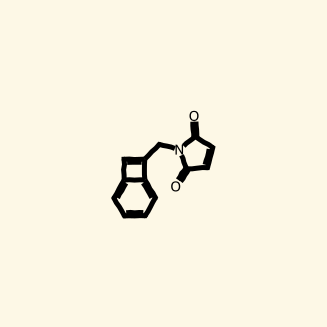 O=C1C=CC(=O)N1CC1=Cc2ccccc21